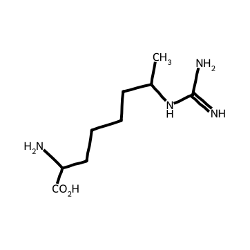 CC(CCCCC(N)C(=O)O)NC(=N)N